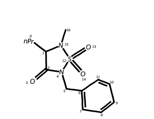 CCCC1C(=O)N(Cc2ccccc2)S(=O)(=O)N1C